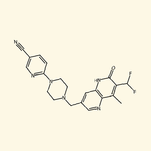 Cc1c(C(F)F)c(=O)[nH]c2cc(CN3CCN(c4ccc(C#N)cn4)CC3)cnc12